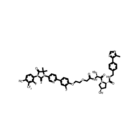 Cc1ncsc1-c1ccc(CNC(=O)[C@@H]2C[C@@H](O)CN2C(=O)[C@@H](NC(=O)COCCOc2ccc(-c3ccc(N4C(=S)N(c5ccc(C#N)c(C(F)(F)F)c5F)C(=O)C4(C)C)cn3)cc2F)C(C)(C)C)cc1